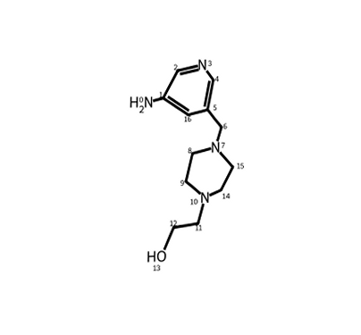 Nc1cncc(CN2CCN(CCO)CC2)c1